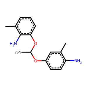 CCCC(Oc1ccc(N)c(C)c1)Oc1cccc(C)c1N